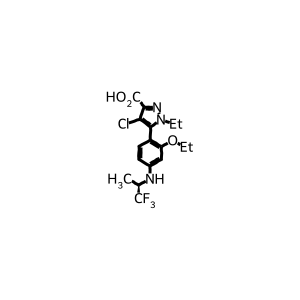 CCOc1cc(N[C@H](C)C(F)(F)F)ccc1-c1c(Cl)c(C(=O)O)nn1CC